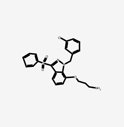 NCCCOc1cccc2c(S(=O)(=O)c3ccccc3)nn(Cc3cccc(Cl)c3)c12